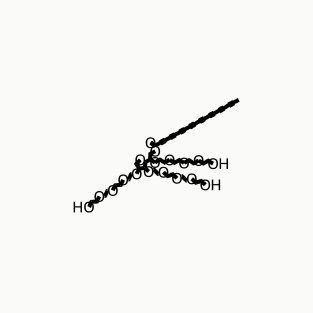 CC#CC#CC#CC#CC#CC#CC#CC#CC(=O)OCC(OCCOCCOCCOCCO)C1OCC(OCCOCCOCCOCCO)C1OCCOCCOCCOCCO